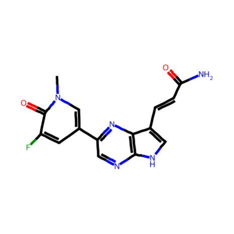 Cn1cc(-c2cnc3[nH]cc(C=CC(N)=O)c3n2)cc(F)c1=O